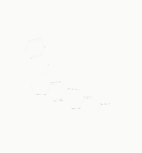 COC(=O)/C=C(\C(C)C)C(O)c1ccc(OC)c(OCc2ccccc2)c1